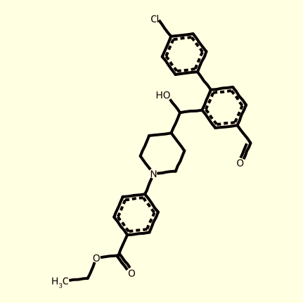 CCOC(=O)c1ccc(N2CCC(C(O)c3cc(C=O)ccc3-c3ccc(Cl)cc3)CC2)cc1